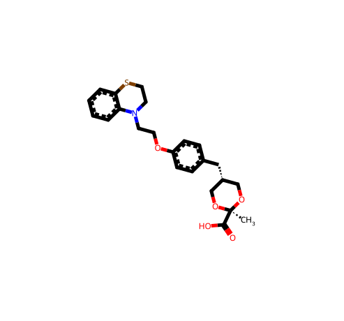 C[C@]1(C(=O)O)OC[C@H](Cc2ccc(OCCN3CCSc4ccccc43)cc2)CO1